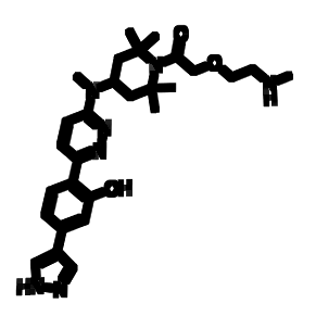 CNCCOCC(=O)N1C(C)(C)CC(N(C)c2ccc(-c3ccc(-c4cn[nH]c4)cc3O)nn2)CC1(C)C